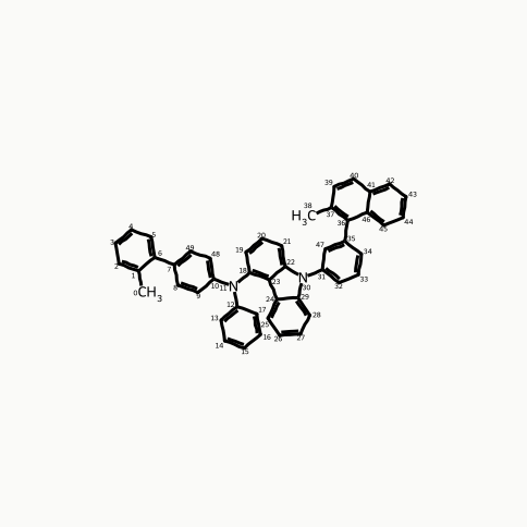 Cc1ccccc1-c1ccc(N(c2ccccc2)c2cccc3c2c2ccccc2n3-c2cccc(-c3c(C)ccc4ccccc34)c2)cc1